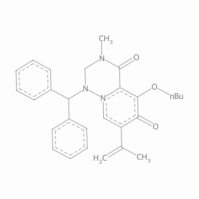 C=C(C)c1cn2c(c(OCCCC)c1=O)C(=O)N(C)CN2C(c1ccccc1)c1ccccc1